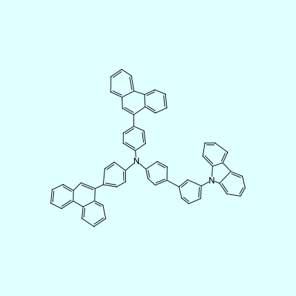 c1cc(-c2ccc(N(c3ccc(-c4cc5ccccc5c5ccccc45)cc3)c3ccc(-c4cc5ccccc5c5ccccc45)cc3)cc2)cc(-n2c3ccccc3c3ccccc32)c1